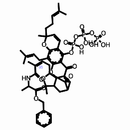 CC(C)=CCCC1(C)C=Cc2c(c(CC=C(C)C)c3c(c2OP(=O)(O)OP(=O)(O)OP(=O)(O)O)C(=O)C2=CC4CC5C(C)(C)OC(C/C=C(/C)C(=O)NC(C)C(=O)OCc6ccccc6)(C4=O)C25O3)O1